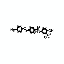 CS(=O)(=O)c1cc(NC(=O)c2ccc(COc3ccc(C#N)cc3)cc2)ccc1O